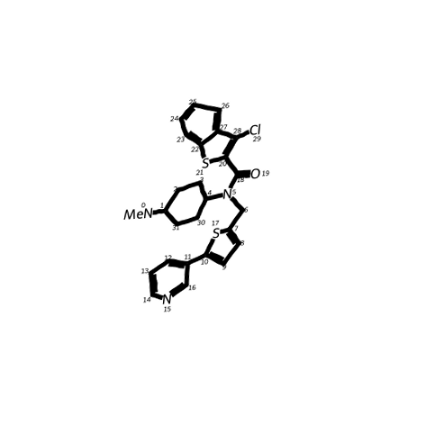 CNC1CCC(N(Cc2ccc(-c3cccnc3)s2)C(=O)c2sc3ccccc3c2Cl)CC1